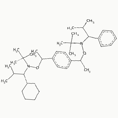 CC(ON(C(c1ccccc1)C(C)C)C(C)(C)C)c1ccc(C(C)ON(C(C(C)C)C2CCCCC2)C(C)(C)C)cc1